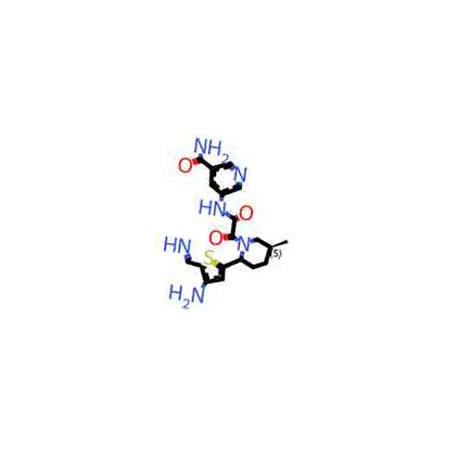 C[C@H]1CCC(c2cc(N)c(C=N)s2)N(C(=O)C(=O)Nc2cncc(C(N)=O)c2)C1